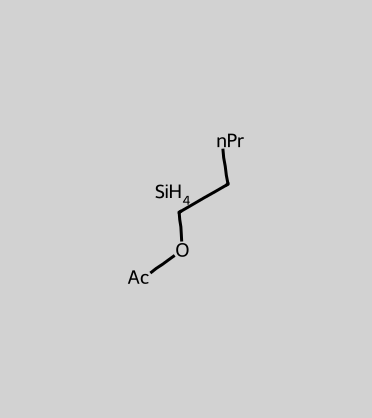 CCCCCOC(C)=O.[SiH4]